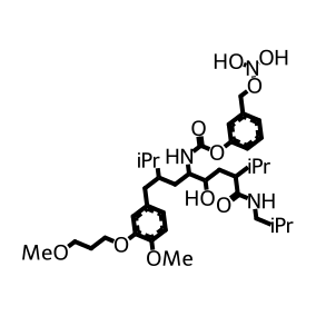 COCCCOc1cc(CC(CC(NC(=O)Oc2cccc(CON(O)O)c2)C(O)CC(C(=O)NCC(C)C)C(C)C)C(C)C)ccc1OC